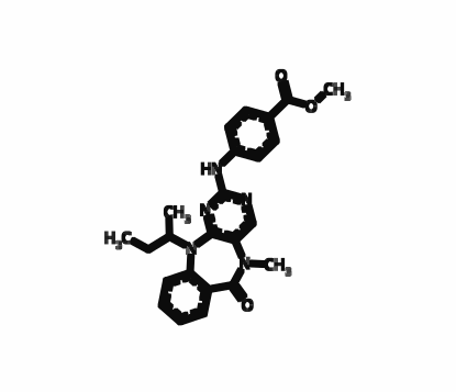 CCC(C)N1c2ccccc2C(=O)N(C)c2cnc(Nc3ccc(C(=O)OC)cc3)nc21